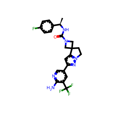 C[C@@H](NC(=O)N1CC2(CCn3nc(-c4cnc(N)c(C(F)(F)F)c4)cc32)C1)c1ccc(F)cc1